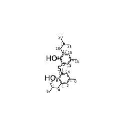 Cc1cc(CC(C)C)c(O)c(Sc2cc(C)cc(CC(C)C)c2O)c1